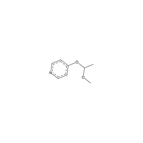 COC(C)Oc1[c]cncc1